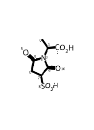 CC(C(=O)O)N1C(=O)CC(S(=O)(=O)O)C1=O